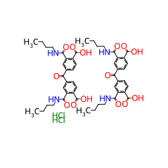 CCCCNC(=O)c1cc(C(=O)c2ccc(C(=O)O)c(C(=O)NCCCC)c2)ccc1C(=O)O.CCCCNC(=O)c1cc(C(=O)c2ccc(C(=O)O)c(C(=O)NCCCC)c2)ccc1C(=O)O.Cl.Cl